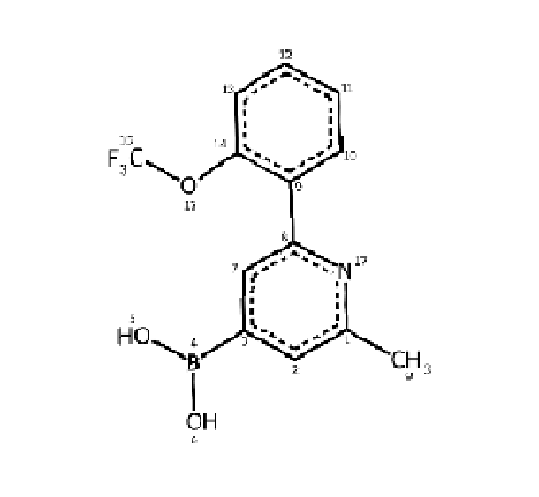 Cc1cc(B(O)O)cc(-c2ccccc2OC(F)(F)F)n1